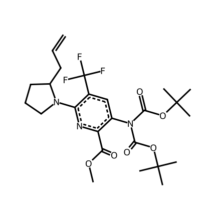 C=CCC1CCCN1c1nc(C(=O)OC)c(N(C(=O)OC(C)(C)C)C(=O)OC(C)(C)C)cc1C(F)(F)F